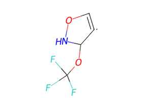 FC(F)(F)OC1[C]=CON1